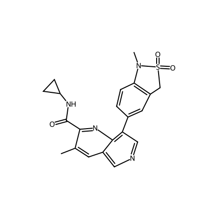 Cc1cc2cncc(-c3ccc4c(c3)CS(=O)(=O)N4C)c2nc1C(=O)NC1CC1